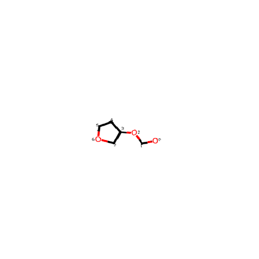 [O]COC1CCOC1